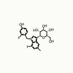 Cc1cc(F)c2c(c1)c([C@@H]1O[C@H](CO)[C@@H](O)[C@H](O)[C@H]1O)cn2Cc1ccc(O)cc1F